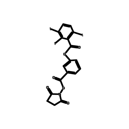 O=C(ON1C(=O)CCC1=O)c1cccc(OC(=O)c2c(I)ccc(I)c2I)c1